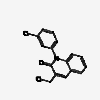 O=c1c(CCl)cc2ccccc2n1-c1cccc(Cl)c1